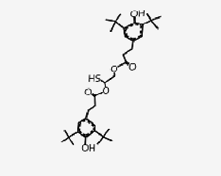 CC(C)(C)c1cc(CCC(=O)OCC(S)OC(=O)CCc2cc(C(C)(C)C)c(O)c(C(C)(C)C)c2)cc(C(C)(C)C)c1O